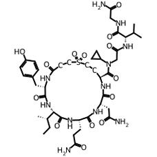 CC[C@H](C)[C@@H]1NC(=O)[C@H](Cc2ccc(O)cc2)NC(=O)CCS(=O)(=O)CC[C@@H](C(=O)N(CC(=O)N[C@H](C(=O)NCC(N)=O)C(C)C)C2CC2)NC(=O)[C@H](CC(N)=O)NC(=O)[C@H](CCC(N)=O)NC1=O